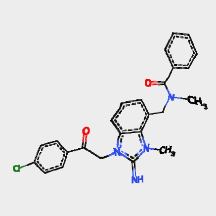 CN(Cc1cccc2c1n(C)c(=N)n2CC(=O)c1ccc(Cl)cc1)C(=O)c1ccccc1